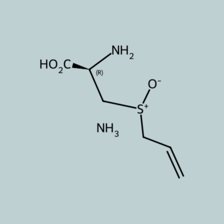 C=CC[S+]([O-])C[C@H](N)C(=O)O.N